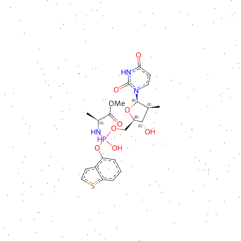 COC(=O)[C@H](C)N[PH](O)(OC[C@H]1O[C@@H](n2ccc(=O)[nH]c2=O)[C@@H](C)[C@@H]1O)Oc1cccc2sccc12